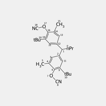 CCCC(c1cc(C)c(OC#N)c(C(C)(C)C)c1)c1cc(C)c(OC#N)c(C(C)(C)C)c1